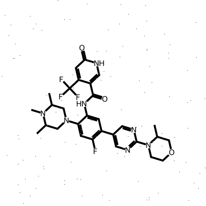 CC1COCCN1c1ncc(-c2cc(NC(=O)c3c[nH]c(=O)cc3C(F)(F)F)c(N3CC(C)N(C)C(C)C3)cc2F)cn1